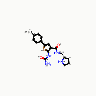 COc1ccc(-c2cc(C(=O)NC[C@@H]3CCCN3)c(NC(N)=O)s2)cc1